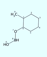 CC1CCCCC1OBO